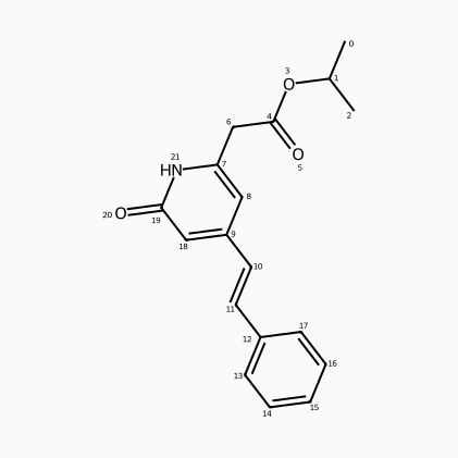 CC(C)OC(=O)Cc1cc(/C=C/c2ccccc2)cc(=O)[nH]1